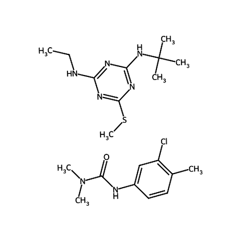 CCNc1nc(NC(C)(C)C)nc(SC)n1.Cc1ccc(NC(=O)N(C)C)cc1Cl